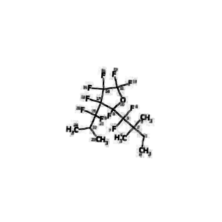 CCC(C)(C)C(F)(F)C1(F)OC(F)(F)C(F)(F)C1(F)C(F)(F)C(C)C